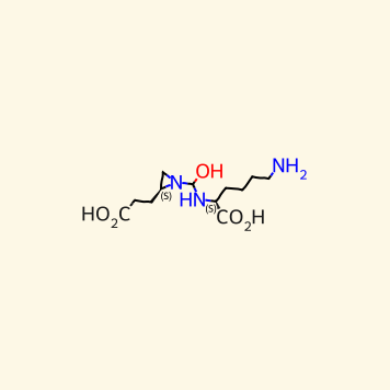 NCCCC[C@H](NC(O)N1C[C@@H]1CCC(=O)O)C(=O)O